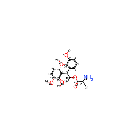 COc1cccc(C(c2cccc(OC)c2OC)C(C)OC(=O)[C@H](C)N)c1OC